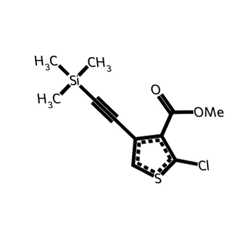 COC(=O)c1c(C#C[Si](C)(C)C)csc1Cl